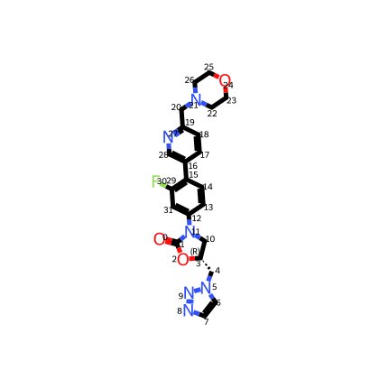 O=C1O[C@@H](Cn2ccnn2)CN1c1ccc(-c2ccc(CN3CCOCC3)nc2)c(F)c1